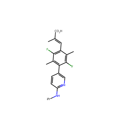 C/C(=C\c1c(C)c(F)c(-c2ccc(NC(C)C)nc2)c(C)c1F)C(=O)O